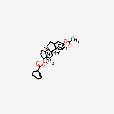 CC(=O)OC1C=C[C@@]2(C)C(CC[C@@H]3[C@@H]2CC[C@]2(C)C(OC(=O)c4ccccc4)CC[C@@H]32)C1